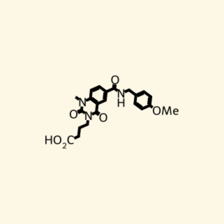 COc1ccc(CNC(=O)c2ccc3c(c2)c(=O)n(CCCC(=O)O)c(=O)n3C)cc1